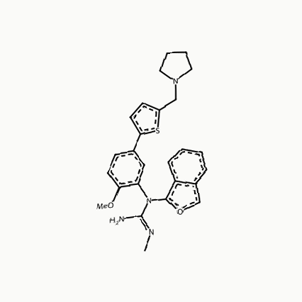 CN=C(N)N(c1cc(-c2ccc(CN3CCCC3)s2)ccc1OC)c1occ2ccccc12